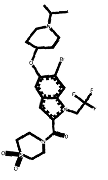 CC(C)N1CCC(Oc2cc3cc(C(=O)N4CCS(=O)(=O)CC4)n(CC(F)(F)F)c3cc2Br)CC1